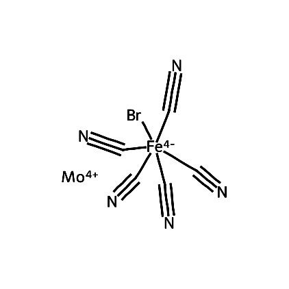 N#[C][Fe-4]([Br])([C]#N)([C]#N)([C]#N)[C]#N.[Mo+4]